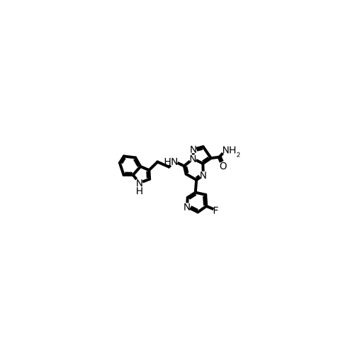 NC(=O)c1cnn2c(NCCc3c[nH]c4ccccc34)cc(-c3cncc(F)c3)nc12